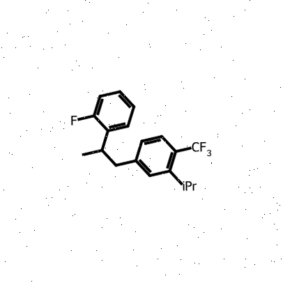 CC(C)c1cc(CC(C)c2ccccc2F)ccc1C(F)(F)F